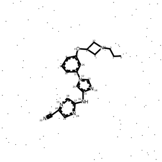 CCCN1CC(Oc2cccc(-n3cnc(Nc4cnc(C#N)cn4)c3)c2)C1